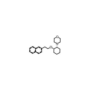 c1ccc2cc(CCO[C@@H]3CCCC[C@H]3N3CCOCC3)ccc2c1